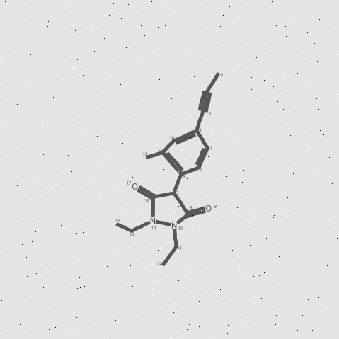 CC#Cc1ccc(C2C(=O)N(CC)N(CC)C2=O)c(C)c1